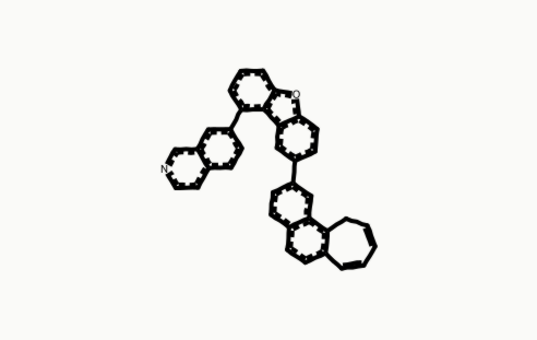 C1=CCc2c(ccc3ccc(-c4ccc5oc6cccc(-c7ccc8ccncc8c7)c6c5c4)cc23)C=C1